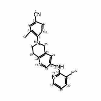 Cc1cc(C#N)cnc1N1CCc2ncc(Nc3ncccc3F)cc2C1